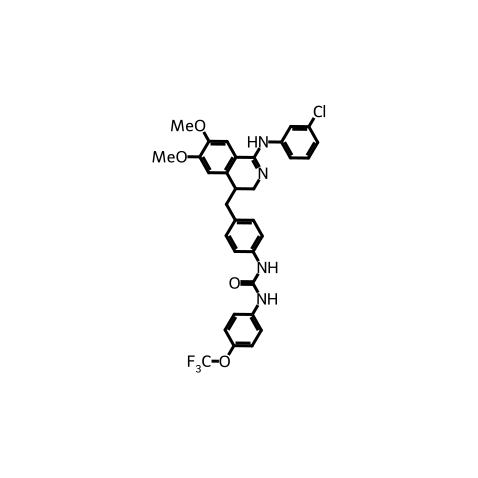 COc1cc2c(cc1OC)C(Cc1ccc(NC(=O)Nc3ccc(OC(F)(F)F)cc3)cc1)CN=C2Nc1cccc(Cl)c1